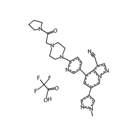 Cn1cc(-c2cc(-c3ccc(N4CCN(CC(=O)N5CCCC5)CC4)nc3)c3c(C#N)cnn3c2)cn1.O=C(O)C(F)(F)F